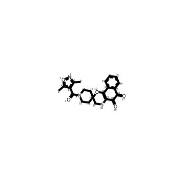 Cc1noc(C)c1C(=O)N1CCC2(CC1)CSC1=C(O2)c2ccccc2C(=O)C1=O